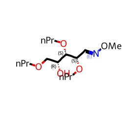 CCCOC[C@@H](O)[C@H](OCCC)[C@H](/C=N/OC)OCCC